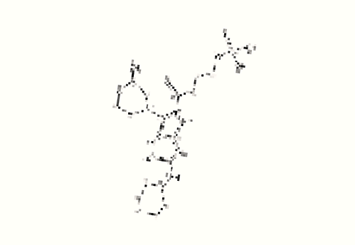 C[C@H]1CN(c2c3cnc(NC4CCCCC4)nc3nn2C(=O)OCCOP(=O)(O)O)CCO1